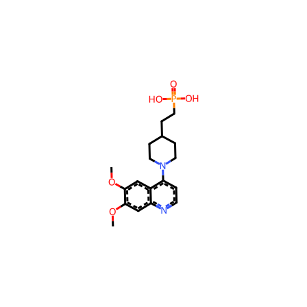 COc1cc2nccc(N3CCC(CCP(=O)(O)O)CC3)c2cc1OC